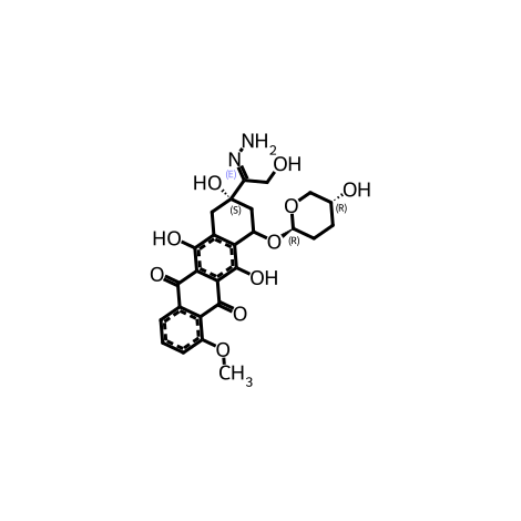 COc1cccc2c1C(=O)c1c(O)c3c(c(O)c1C2=O)C[C@@](O)(/C(CO)=N/N)CC3O[C@@H]1CC[C@@H](O)CO1